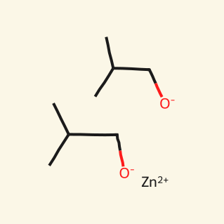 CC(C)C[O-].CC(C)C[O-].[Zn+2]